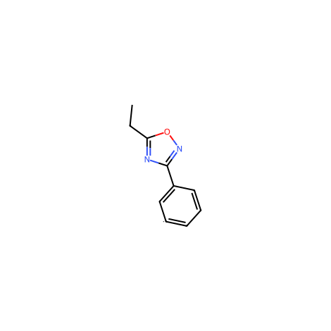 CCc1nc(-c2c[c]ccc2)no1